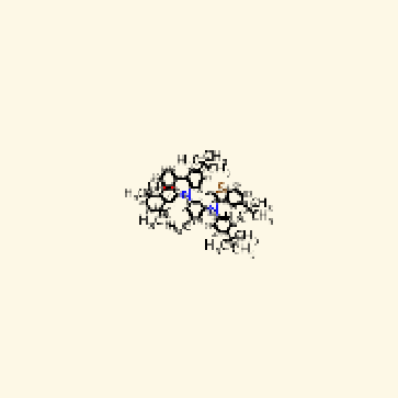 Cc1cc(N(c2ccc3c(c2)C(C)(C)CCC3(C)C)c2ccc(C(C)(C)C)cc2-c2ccccc2)cc(N(c2ccc(C(C)(C)C)cc2)c2csc3ccc(C(C)(C)C)cc23)c1